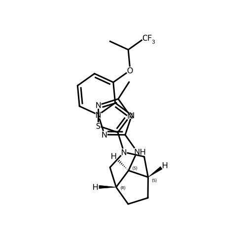 Cc1nsc(N2C[C@H]3CC[C@@H](C2)[C@@H]3Nc2nc3c(OC(C)C(F)(F)F)cccn3n2)n1